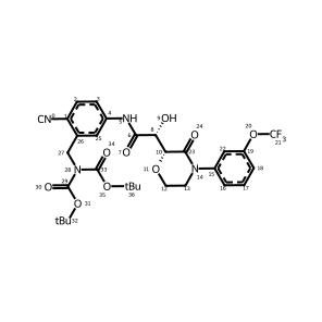 [C-]#[N+]c1ccc(NC(=O)[C@H](O)[C@H]2OCCN(c3cccc(OC(F)(F)F)c3)C2=O)cc1CN(C(=O)OC(C)(C)C)C(=O)OC(C)(C)C